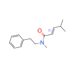 CC(C)/C=C/C(=O)N(C)CCc1ccccc1